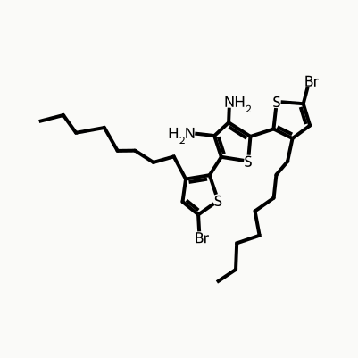 CCCCCCCCc1cc(Br)sc1-c1sc(-c2sc(Br)cc2CCCCCCCC)c(N)c1N